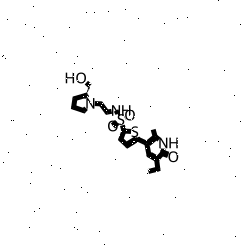 CCc1cc(C2=CCC(S(=O)(=O)NCCN3CCC[C@@H]3CO)S2)c(C)[nH]c1=O